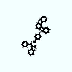 c1ccc(-c2nc(-c3ccc(-n4c5ccccc5c5c6c(ccc54)sc4ccccc46)cc3)nc3oc4ccccc4c23)cc1